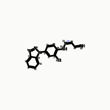 CCc1cc(-n2nnc3ccccc32)ccc1N/N=C\C=N